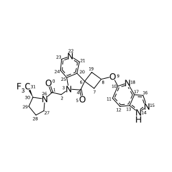 O=C(CN1C(=O)C2(CC(Oc3ccc4[nH]ncc4n3)C2)c2cnccc21)N1CCC[C@H]1C(F)(F)F